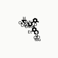 CCc1cc(COc2c(C)cccc2-c2cccc(N3C[C@@H]4C[C@]4(C(=O)OC)[C@H]3COC)n2)cc2c1CN(C(=O)OC(C)(C)C)CC2